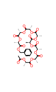 CC(=O)O[C@@H](C)C(=O)O[C@@H](C)C(=O)O[C@@H](C)C(=O)O[C@@H](C)C(=O)O[C@@H](C)C(=O)O[C@@H](C)C(=O)O[C@@H](C)C(=O)O[C@@H](C)C(=O)OCc1ccccc1